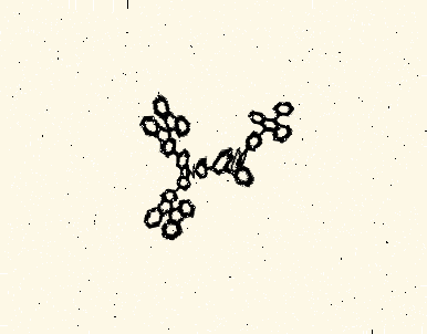 C1=CC2c3ccc(-c4ccc5c(c4)c4cc(-c6ccc7c(c6)C6(c8ccccc8-c8ccccc86)c6ccccc6-7)ccc4n5-c4ccc(-c5ccc6c(c5)c5ccccc5n6-c5ccc(-c6c7ccccc7c(-c7ccccc7)c7ccccc67)cc5)cc4)cc3C3(c4ccccc4-c4ccccc43)C2C=C1